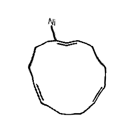 [Ni][C]1=CCCC=CCCC=CCC1